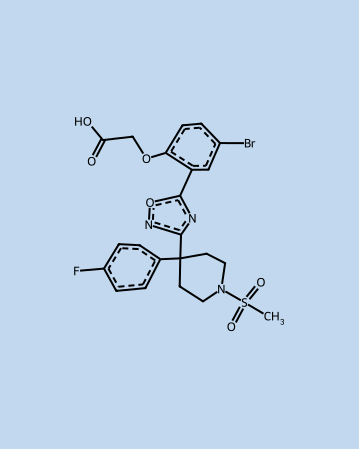 CS(=O)(=O)N1CCC(c2ccc(F)cc2)(c2noc(-c3cc(Br)ccc3OCC(=O)O)n2)CC1